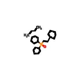 C=CC=C.O=P(C=Cc1ccccc1)(c1ccccc1)c1ccccc1